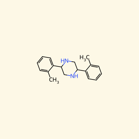 Cc1ccccc1C1CNC(c2ccccc2C)CN1